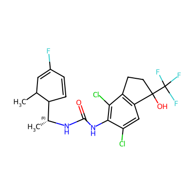 CC1C=C(F)C=CC1[C@@H](C)NC(=O)Nc1c(Cl)cc2c(c1Cl)CCC2(O)C(F)(F)F